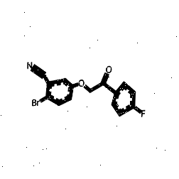 N#Cc1cc(OCC(=O)c2ccc(F)cc2)ccc1Br